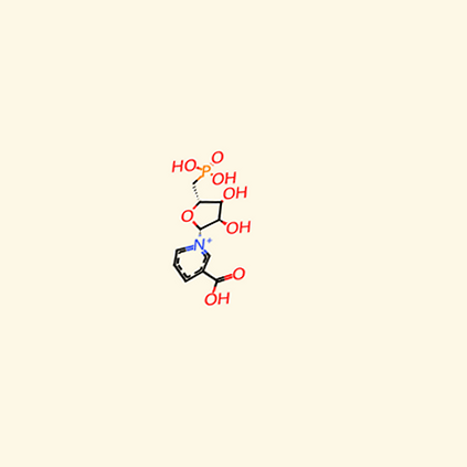 O=C(O)c1ccc[n+]([C@@H]2O[C@H](CP(=O)(O)O)[C@@H](O)[C@H]2O)c1